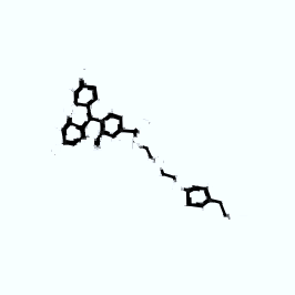 CCCc1ccc(OCCOCCNC(=O)c2ccc(-c3c4ccc(=O)cc-4oc4cc(O)ccc34)c(C(=O)O)c2)cc1